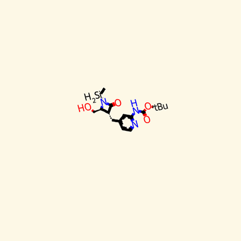 C[SiH2]N1C(=O)[C@H](Cc2ccnc(NC(=O)OC(C)(C)C)c2)[C@H]1CO